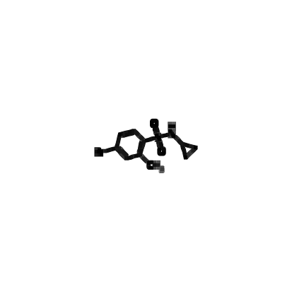 Cc1cc(Br)ccc1S(=O)(=O)NC1CC1